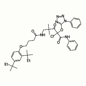 CCC(C)(C)c1ccc(OCCCC(=O)NCC(C)(C)C(=O)C(Cl)(Oc2nnnn2-c2ccccc2)C(=O)Nc2ccccc2)c(C(C)(C)CC)c1